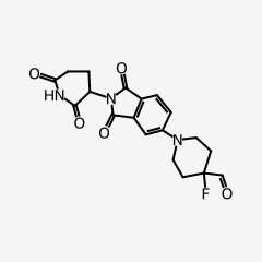 O=CC1(F)CCN(c2ccc3c(c2)C(=O)N(C2CCC(=O)NC2=O)C3=O)CC1